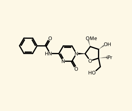 CO[C@H]1[C@H](n2ccc(NC(=O)c3ccccc3)nc2=O)O[C@@](CO)(C(C)C)[C@H]1O